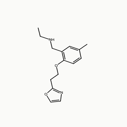 CCNCc1cc(C)ccc1OCCc1ncco1